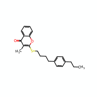 CCCc1ccc(CCCCSc2oc3ccccc3c(=O)c2C)cc1